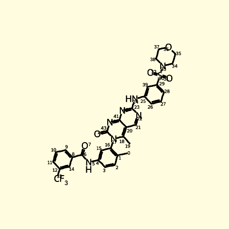 Cc1ccc(NC(=O)c2cccc(C(F)(F)F)c2)cc1-n1c(C)c2cnc(Nc3cccc(S(=O)(=O)N4CCOCC4)c3)nc2nc1=O